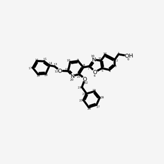 OCc1ccc2oc(-c3ccc(OCc4ccccc4)nc3OCc3ccccc3)nc2c1